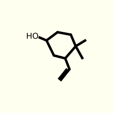 C=CC1CC(O)CCC1(C)C